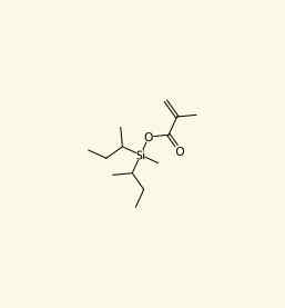 C=C(C)C(=O)O[Si](C)(C(C)CC)C(C)CC